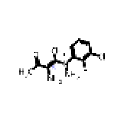 CC(=O)/C(N)=C(\C)N(N)c1cccc(Cl)c1F